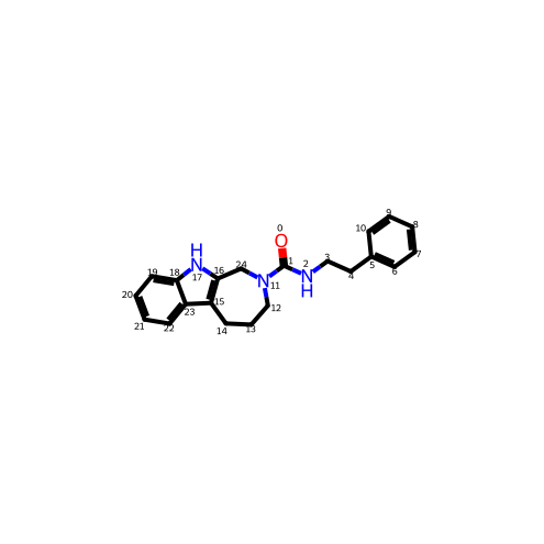 O=C(NCCc1ccccc1)N1CCCc2c([nH]c3ccccc23)C1